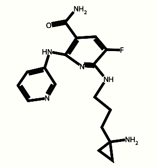 NC(=O)c1cc(F)c(NCCCC2(N)CC2)nc1Nc1cccnc1